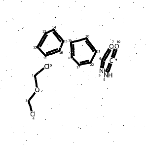 ClCOCCl.N=C=O.N=C=O.c1ccccc1.c1ccccc1